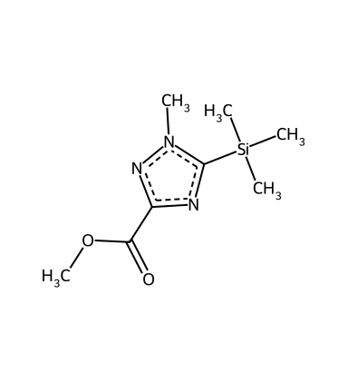 COC(=O)c1nc([Si](C)(C)C)n(C)n1